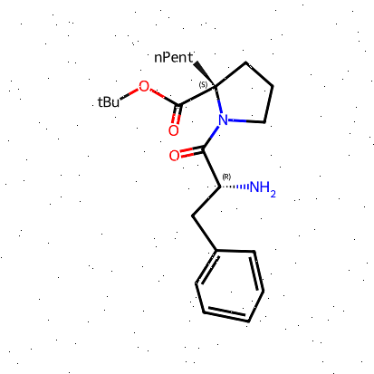 CCCCC[C@@]1(C(=O)OC(C)(C)C)CCCN1C(=O)[C@H](N)Cc1ccccc1